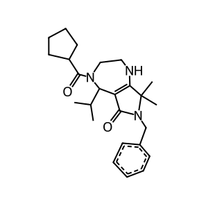 CC(C)C1C2=C(NCCN1C(=O)C1CCCC1)C(C)(C)N(Cc1ccccc1)C2=O